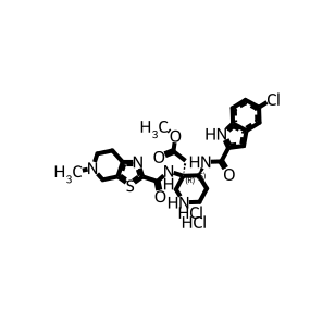 COC(=O)C[C@@]1(NC(=O)c2nc3c(s2)CN(C)CC3)CNCC[C@@H]1NC(=O)c1cc2cc(Cl)ccc2[nH]1.Cl.Cl